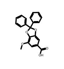 COc1cc(C(=O)O)cc2c1OC(c1ccccc1)(c1ccccc1)O2